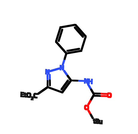 CCOC(=O)c1cc(NC(=O)OC(C)(C)C)n(-c2ccccc2)n1